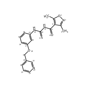 Cc1noc(C)c1C(=O)NC(=S)Nc1cccc(OCc2cccnc2)c1